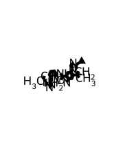 C=C(C)c1cc(N)c(C(=O)Nc2cccc(-c3nncn3C(C)C)n2)cc1-n1cnc(C2CC2)c1